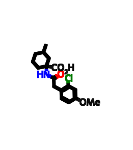 COc1ccc(CC(=O)NC2(C(=O)O)CCCC(C)C2)c(Cl)c1